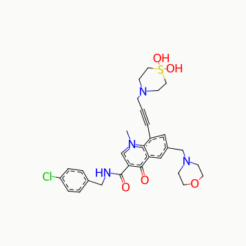 Cn1cc(C(=O)NCc2ccc(Cl)cc2)c(=O)c2cc(CN3CCOCC3)cc(C#CCN3CCS(O)(O)CC3)c21